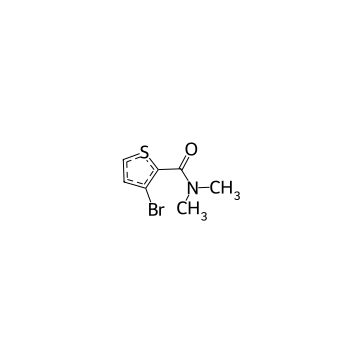 CN(C)C(=O)c1sccc1Br